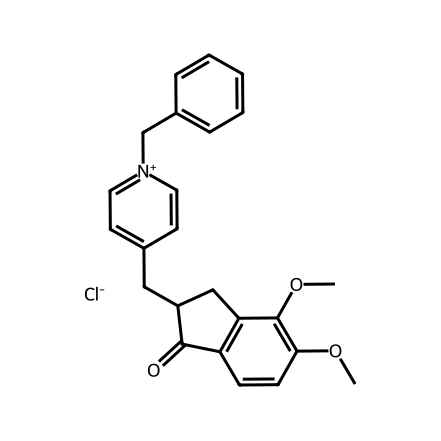 COc1ccc2c(c1OC)CC(Cc1cc[n+](Cc3ccccc3)cc1)C2=O.[Cl-]